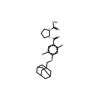 COC(=O)[C@@H]1CCC[C@H]1C(=O)c1cc(Cl)c(OCC23CC4CC(CC(C4)C2)C3)cc1F